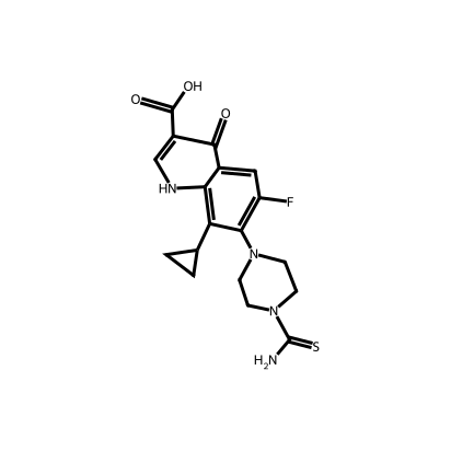 NC(=S)N1CCN(c2c(F)cc3c(=O)c(C(=O)O)c[nH]c3c2C2CC2)CC1